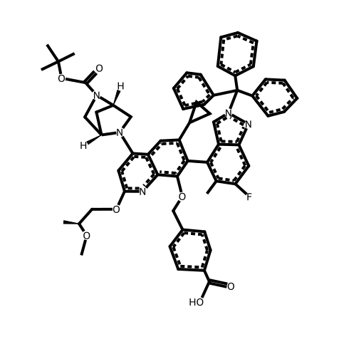 CO[C@@H](C)COc1cc(N2C[C@@H]3C[C@H]2CN3C(=O)OC(C)(C)C)c2cc(C3CC3)c(-c3c(C)c(F)cc4nn(C(c5ccccc5)(c5ccccc5)c5ccccc5)cc34)c(OCc3ccc(C(=O)O)cc3)c2n1